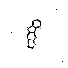 c1cnc2c(c1)sc1cc3nccnc3nc12